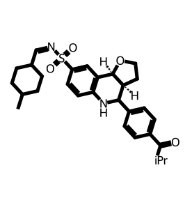 CC1CCC(/C=N\S(=O)(=O)c2ccc3c(c2)[C@H]2OCC[C@H]2C(c2ccc(C(=O)C(C)C)cc2)N3)CC1